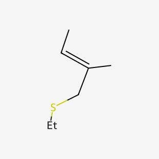 [CH2]CSCC(C)=CC